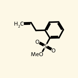 C=CCc1ccccc1S(=O)(=O)OC